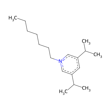 CCCCCCC[n+]1cc(C(C)C)cc(C(C)C)c1